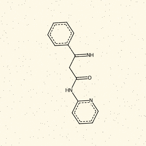 N=C(CC(=O)Nc1ccccn1)c1ccccc1